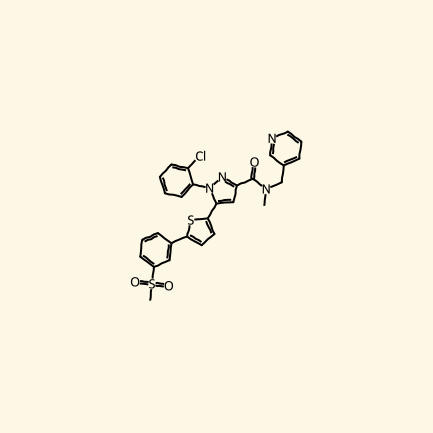 CN(Cc1cccnc1)C(=O)c1cc(-c2ccc(-c3cccc(S(C)(=O)=O)c3)s2)n(-c2ccccc2Cl)n1